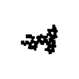 CC(C)[C@H](CO)Nc1nccc(-c2c(-c3ccc(F)cc3)nc3sccn23)n1